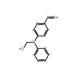 [CH]=Cc1ccc(N(CC)c2ccccc2)cc1